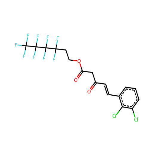 O=C(C=Cc1cccc(Cl)c1Cl)CC(=O)OCCC(F)(F)C(F)(F)C(F)(F)C(F)(F)F